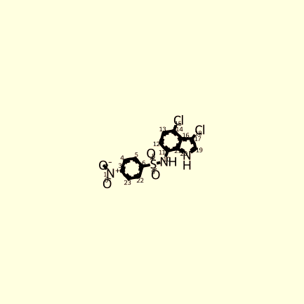 O=[N+]([O-])c1ccc(S(=O)(=O)Nc2ccc(Cl)c3c(Cl)c[nH]c23)cc1